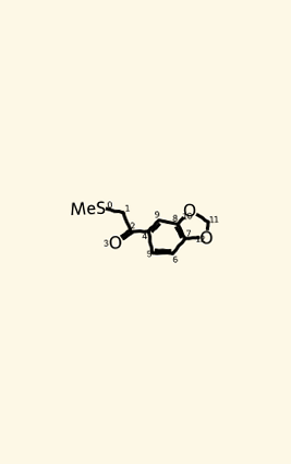 CSCC(=O)c1ccc2c(c1)OCO2